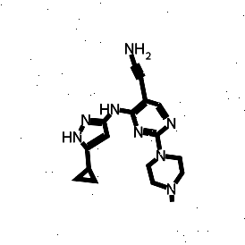 CN1CCN(c2ncc(C#CN)c(Nc3cc(C4CC4)[nH]n3)n2)CC1